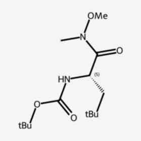 CON(C)C(=O)[C@H](CC(C)(C)C)NC(=O)OC(C)(C)C